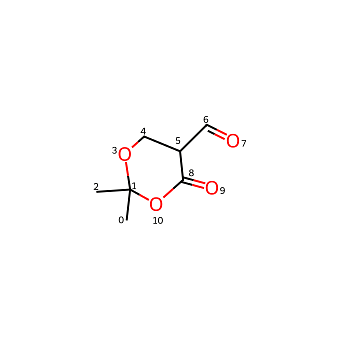 CC1(C)OCC(C=O)C(=O)O1